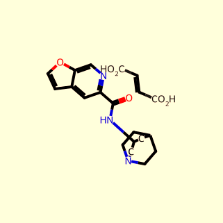 O=C(NC1CC2CCN(CC2)C1)c1cc2ccoc2cn1.O=C(O)/C=C/C(=O)O